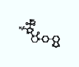 Cc1nc(N2CCCN(c3ccc(-c4cccc5scnc45)cc3)C2=O)sc1S(N)(=O)=O